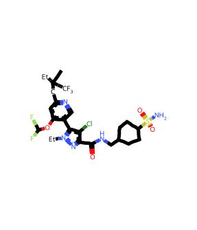 CCn1nc(C(=O)NCC2CCC(S(N)(=O)=O)CC2)c(Cl)c1-c1cnc(CC(C)(CC)C(F)(F)F)cc1OC(F)F